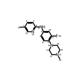 Cc1ccc(Nc2ccc(N3CCN(C)CC3)c(F)c2)nc1